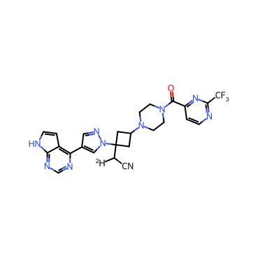 [2H]C(C#N)C1(n2cc(-c3ncnc4[nH]ccc34)cn2)CC(N2CCN(C(=O)c3ccnc(C(F)(F)F)n3)CC2)C1